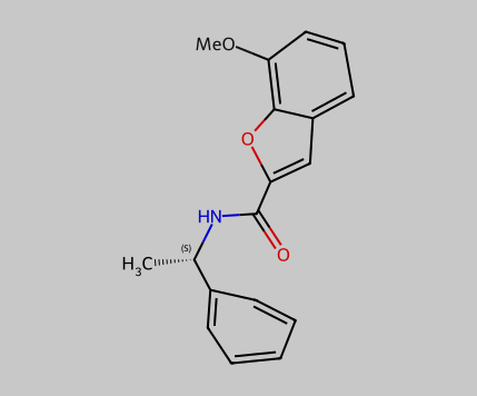 COc1cccc2cc(C(=O)N[C@@H](C)c3ccccc3)oc12